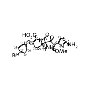 CON=C(C(=O)C1(N)C(=O)N2C(C(=O)O)=C(Sc3ccc(Br)cc3)CS[C@H]21)c1csc(N)n1